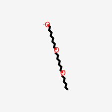 CCCCCCOCCCCCCCOCCCCCCCC[O]